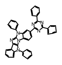 c1ccc(-c2nc(-c3ccccc3)nc(-c3ccc4c(c3)n(-c3ccccc3)c3nc5c6ccccc6n(-c6ccccc6)c5n43)n2)cc1